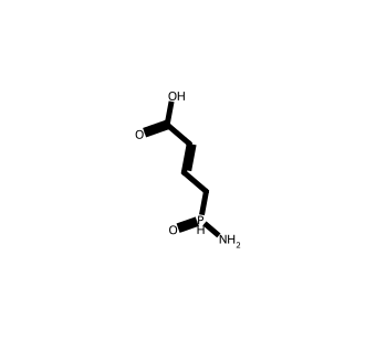 N[PH](=O)CC=CC(=O)O